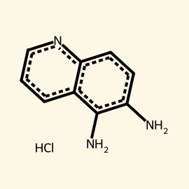 Cl.Nc1ccc2ncccc2c1N